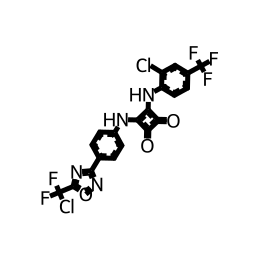 O=c1c(Nc2ccc(-c3noc(C(F)(F)Cl)n3)cc2)c(Nc2ccc(C(F)(F)F)cc2Cl)c1=O